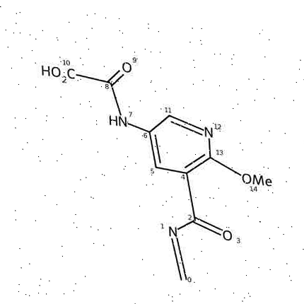 C=NC(=O)c1cc(NC(=O)C(=O)O)cnc1OC